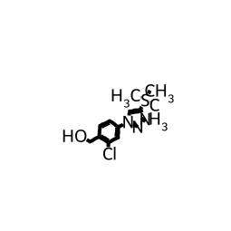 CS(C)(C)c1cn(-c2ccc(CO)c(Cl)c2)nn1